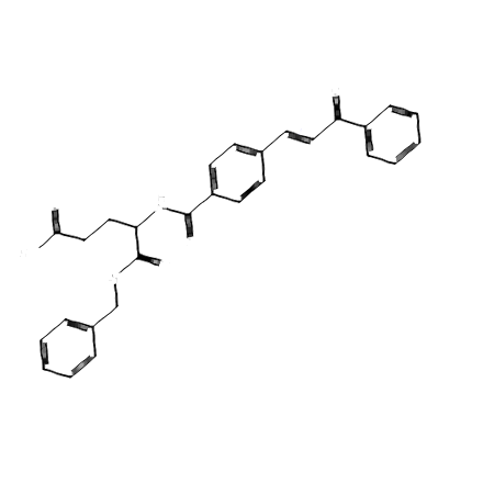 O=C(O)CCC(NC(=O)c1ccc(/C=C/C(=O)c2ccccc2)cc1)C(=O)NCc1ccccc1